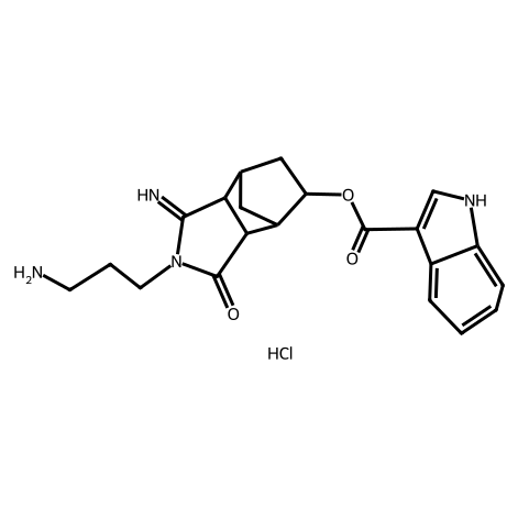 Cl.N=C1C2C3CC(OC(=O)c4c[nH]c5ccccc45)C(C3)C2C(=O)N1CCCN